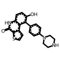 O=c1[nH]c2ccc(O)c(-c3ccc(N4CCNCC4)cc3)c2c2ccsc12